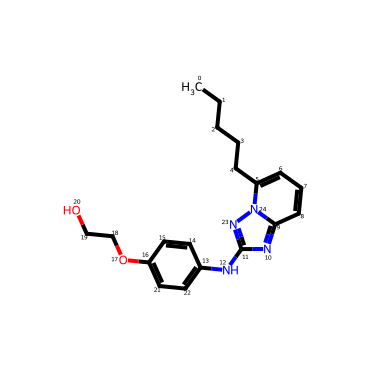 CCCCCc1cccc2nc(Nc3ccc(OCCO)cc3)nn12